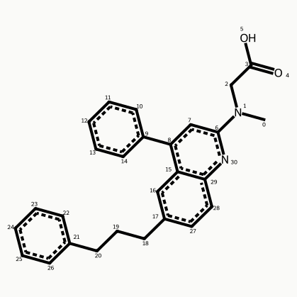 CN(CC(=O)O)c1cc(-c2ccccc2)c2cc(CCCc3ccccc3)ccc2n1